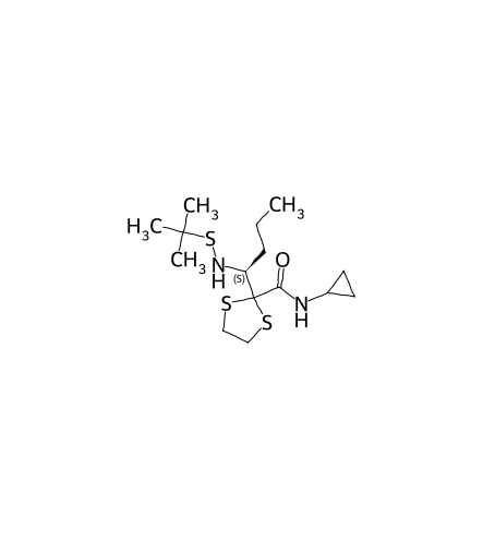 CCC[C@H](NSC(C)(C)C)C1(C(=O)NC2CC2)SCCS1